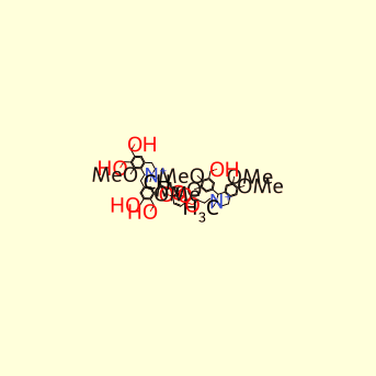 COc1cc2c(cc1OC)C(c1cc(CO)c(OC)c(OC)c1)[N+](C)(CCCOC(=O)/C=C\C(=O)OCCC[N+]1(C)CCc3cc(CO)c(CO)c(OC)c3C1Cc1cc(CO)c(CO)c(OC)c1)CC2